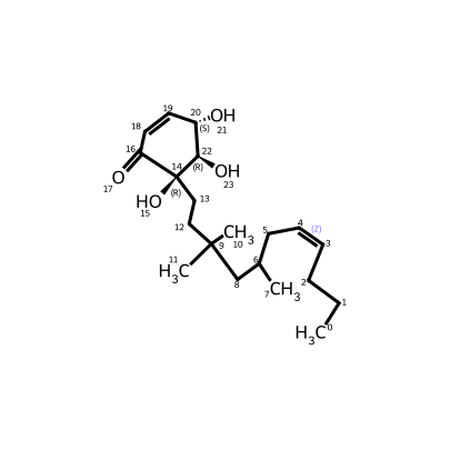 CCC/C=C\CC(C)CC(C)(C)CC[C@]1(O)C(=O)C=C[C@H](O)[C@H]1O